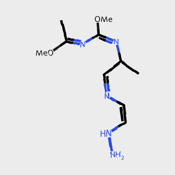 CO/C(C)=N/C(=N\C(C)/C=N\C=C/NN)OC